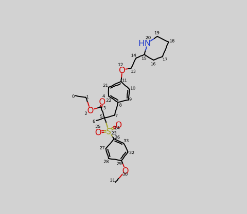 CCOC(=O)C(C)(Cc1ccc(OCCC2CCCCN2)cc1)S(=O)(=O)c1ccc(OC)cc1